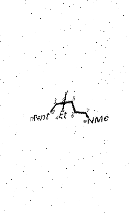 CCCCCCC(C)(CC)CCCNC